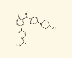 C=C(/C=C\N=C(/C)N)c1ccc(=C)/c(=C(\OC)c2ccc(N3CCC(O)CC3)cc2)c1